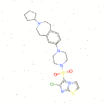 O=S(=O)(c1c(Cl)nc2sccn12)N1CCN(c2ccc3c(c2)CCN(C2CCCC2)CC3)CC1